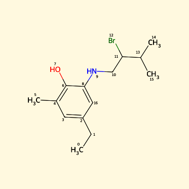 CCc1cc(C)c(O)c(NCC(Br)C(C)C)c1